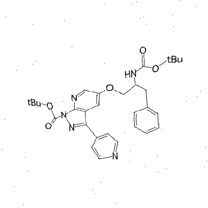 CC(C)(C)OC(=O)NC(COc1cnc2c(c1)c(-c1ccncc1)nn2C(=O)OC(C)(C)C)Cc1ccccc1